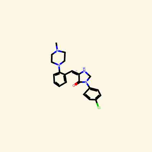 CN1CCN(c2ccccc2/C=C2/NCN(c3ccc(Cl)cc3)C2=O)CC1